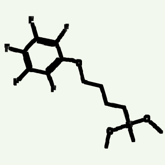 CO[Si](C)(CCCCOc1c(F)c(F)c(F)c(F)c1F)OC